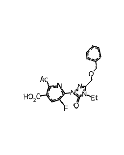 CCn1c(COCc2ccccc2)nn(-c2nc(C(C)=O)c(C(=O)O)cc2F)c1=O